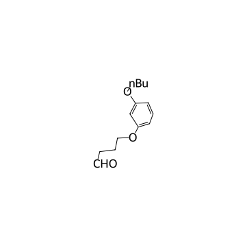 CCCCOc1cccc(OCCCC=O)c1